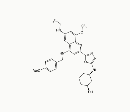 COc1ccc(CNc2cc(-c3nnc(N[C@@H]4CCC[C@H](O)C4)o3)nc3c(OC(F)(F)F)cc(NCC(F)(F)F)cc23)cc1